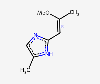 CO/C(C)=C\c1ncc(C)[nH]1